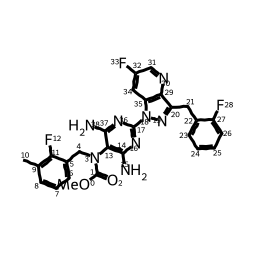 COC(=O)N(Cc1cccc(C)c1F)c1c(N)nc(-n2nc(Cc3ccccc3F)c3ncc(F)cc32)nc1N